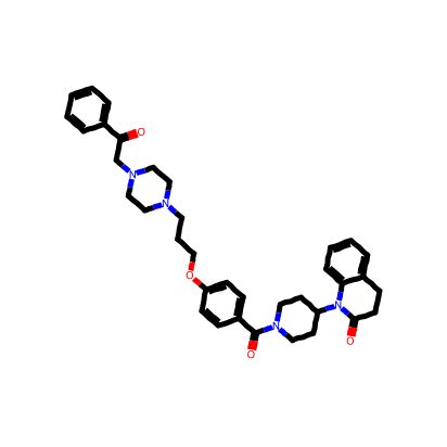 O=C(CN1CCN(CCCOc2ccc(C(=O)N3CCC(N4C(=O)CCc5ccccc54)CC3)cc2)CC1)c1ccccc1